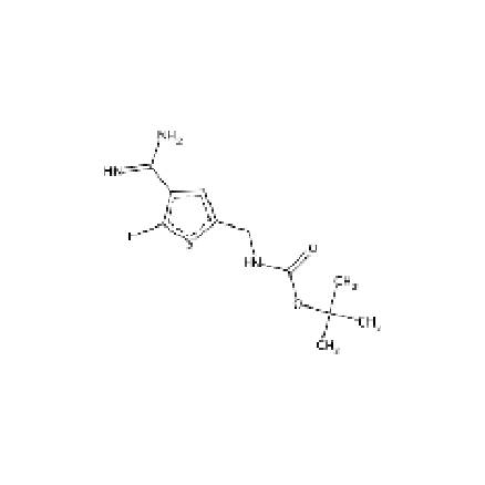 CC(C)(C)OC(=O)NCc1cc(C(=N)N)c(F)s1